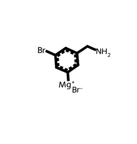 NCc1c[c]([Mg+])cc(Br)c1.[Br-]